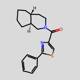 O=C(c1csc(-c2ccccc2)n1)N1CC[C@H]2CCCC[C@@H]2C1